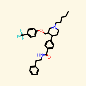 CCCCCN1CCC(c2ccc(C(=O)NCCc3ccccc3)cc2)C(COc2ccc(C(F)(F)F)cc2)C1